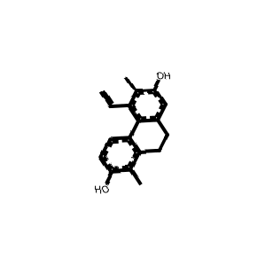 C=Cc1c(C)c(O)cc2c1-c1ccc(O)c(C)c1CC2